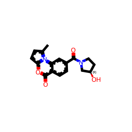 Cc1ccc2oc(=O)c3ccc(C(=O)N4CC[C@@H](O)C4)cc3n12